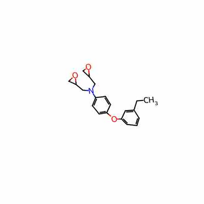 CCc1cccc(Oc2ccc(N(CC3CO3)CC3CO3)cc2)c1